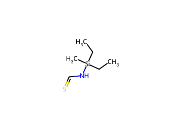 CC[Si](C)(CC)NC=S